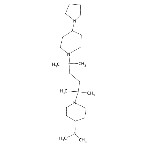 CN(C)C1CCN(C(C)(C)CCC(C)(C)N2CCC(N3CCCC3)CC2)CC1